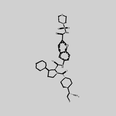 N[C@H](CF)[C@H]1CC[C@H](C(=O)N2CCC(C3CCCCC3)[C@H]2C(=O)Nc2ccc3oc(C(=O)NS(=O)(=O)N4CCOCC4)cc3c2)CC1